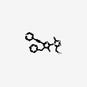 Cc1c(-n2c(C)nnc2CO)sc(C#Cc2ccncc2)c1Cc1ccccc1